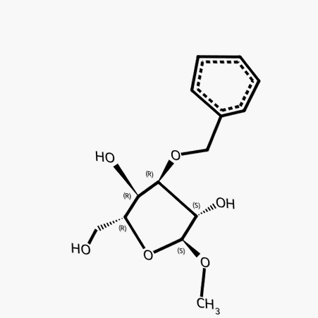 CO[C@H]1O[C@H](CO)[C@@H](O)[C@@H](OCc2ccccc2)[C@@H]1O